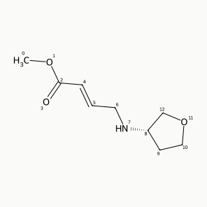 COC(=O)C=CCN[C@H]1CCOC1